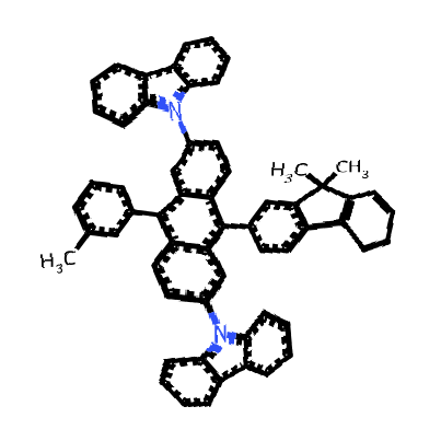 Cc1cccc(-c2c3ccc(-n4c5ccccc5c5ccccc54)cc3c(-c3ccc4c(c3)C(C)(C)C3=C4CCC=C3)c3ccc(-n4c5ccccc5c5ccccc54)cc23)c1